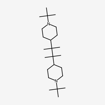 CC(C)(C)N1CCC(C(C)(C)C(C)(C)C2CCN(C(C)(C)C)CC2)CC1